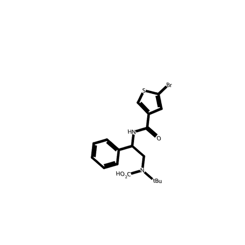 CC(C)(C)N(CC(NC(=O)c1csc(Br)c1)c1ccccc1)C(=O)O